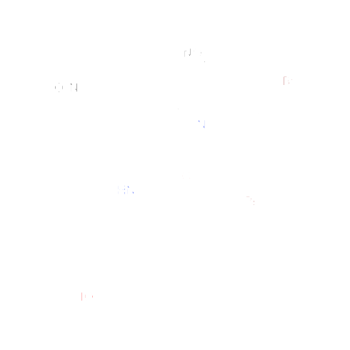 O=C(NCCCO)c1cc([N+](=O)[O-])cc([N+](=O)[O-])c1N(CCBr)CCBr